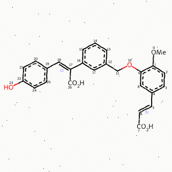 COc1ccc(/C=C/C(=O)O)cc1OCc1cccc(/C(=C/c2ccc(O)cc2)C(=O)O)c1